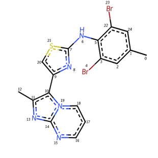 Cc1cc(Br)c(Nc2nc(-c3c(C)nc4ncccn34)cs2)c(Br)c1